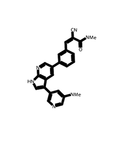 CNC(=O)C(C#N)=Cc1cccc(-c2cnc3[nH]cc(-c4cncc(NC)c4)c3c2)c1